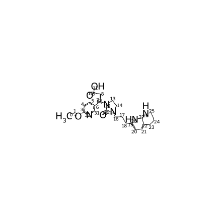 CCOc1ccc([C@@H](CC(=O)O)N2CCN(CCCC3=CC=C4CCCNC4N3)C2=O)cn1